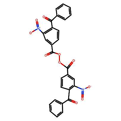 O=C(OOC(=O)c1ccc(C(=O)c2ccccc2)c([N+](=O)[O-])c1)c1ccc(C(=O)c2ccccc2)c([N+](=O)[O-])c1